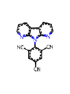 N#Cc1cc(C#N)c(-n2c3ncccc3c3cccnc32)c(C#N)c1